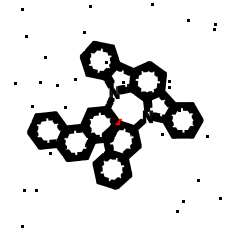 c1ccc2cc(-n3c4ccccc4c4ccc5c6ccccc6n(-c6ccc7ccc8ccccc8c7c6)c5c43)ccc2c1